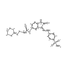 NS(=O)(=O)c1ccc(NN=C2C(=O)Nc3ccc(OC(=O)NCCN4CCOCC4)cc32)cc1